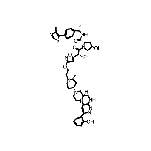 Cc1ncsc1-c1ccc([C@H](C)NC(=O)[C@@H]2C[C@@H](O)CN2C(=O)[C@@H](c2cc(OCCN3CC[C@@H](N4CCN5c6cc(-c7ccccc7O)nnc6NC[C@H]5C4)C[C@@H]3C)no2)C(C)C)cc1